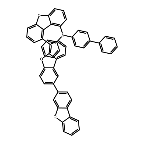 c1ccc(-c2ccc(N(c3ccccc3)c3cccc4oc5cccc(-c6cccc7c6oc6ccc(-c8ccc9c(c8)oc8ccccc89)cc67)c5c34)cc2)cc1